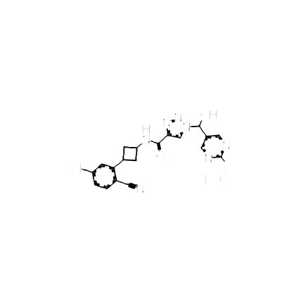 CSc1ncc(C(C)n2cc(C(=O)NC3CC(c4cc(Cl)ccc4C#N)C3)nn2)cn1